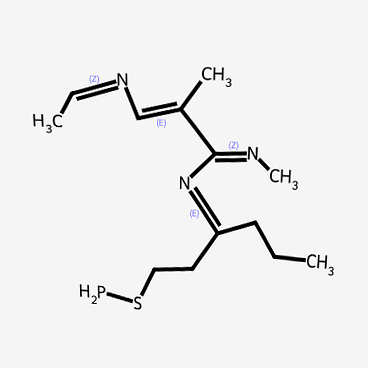 C\C=N/C=C(C)/C(=N/C)/N=C(\CCC)CCSP